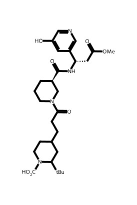 COC(=O)C[C@H](NC(=O)[C@@H]1CCCN(C(=O)CCC2CCN(C(=O)O)C(C(C)(C)C)C2)C1)c1cncc(O)c1